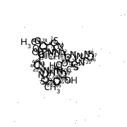 COc1ccc(-c2csc3nc(CCOC(=O)c4c(C)sc5nc(-c6ccccn6)nc(N)c45)nc(N(C)Cc4cc(-c5cccc(-c6nc(NCC(=O)N7CCC(O)CC7)c7c(-c8ccccc8)c(C)sc7n6)n5)co4)c23)cc1OC